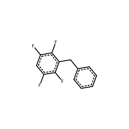 Fc1cc(F)c(F)c(Cc2ccccc2)c1F